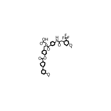 COc1cccc(-c2ccc(C(=O)Oc3ccc(CN(CC(=O)O)C(=O)c4ccc(NC(=O)Cc5ccc(OC)cc5C(F)(F)F)cc4)cc3)cc2)c1